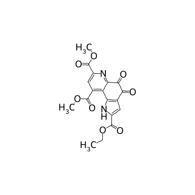 CCOC(=O)c1cc2c([nH]1)-c1c(C(=O)OC)cc(C(=O)OC)nc1C(=O)C2=O